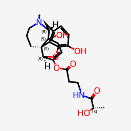 C[C@H](O)C(=O)NCCC(=O)OC1=CC[C@@]2(O)[C@H]3Cc4ccc(O)c5c4[C@@]2(CCCN3C)[C@H]1O5